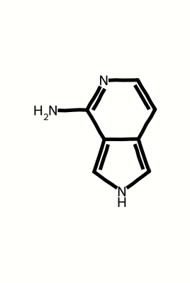 Nc1nccc2c[nH]cc12